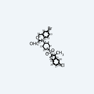 Cc1c(S(=O)(=O)N2CCC(N3c4ccc(Br)cc4COC3C=O)CC2)sc2ccc(Cl)cc12